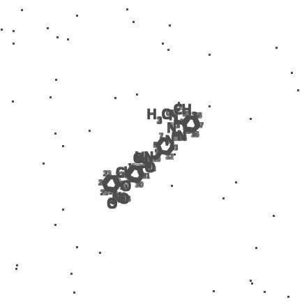 CN(C)c1nc(N2CCC(CNS(=O)(=O)c3ccc(Oc4c(Cl)cccc4[N+](=O)[O-])cc3)CC2)nc2ccccc12